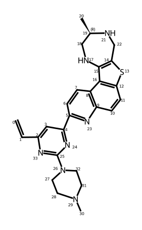 C=Cc1cc(-c2ccc3c(ccc4sc5c(c43)NC[C@@H](C)NC5)n2)nc(N2CCN(C)CC2)n1